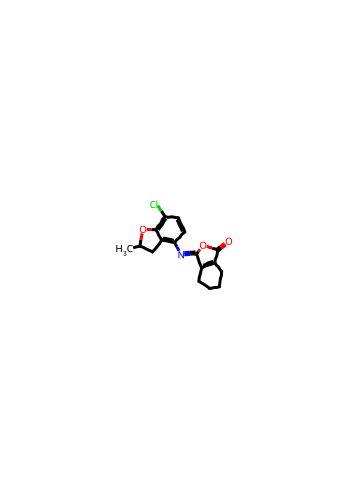 CC1Cc2c(N=C3OC(=O)C4=C3CCCC4)ccc(Cl)c2O1